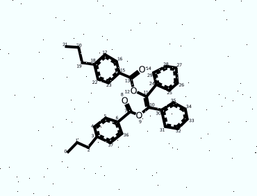 CCCc1ccc(C(=O)OC(=C(OC(=O)c2ccc(CCC)cc2)c2ccccc2)c2ccccc2)cc1